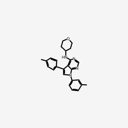 Cc1ccc(-c2cn(-c3cccc(C)c3)c3ncnc(NC4CCOCC4)c23)cc1